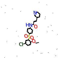 CCOc1ccc(Cl)cc1S(=O)(=O)c1ccc(NC(=O)C=Cc2cccnc2)cc1